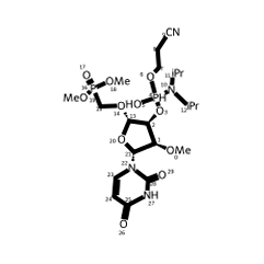 CO[C@@H]1[C@H](O[PH](O)(OCCC#N)N(C(C)C)C(C)C)[C@@H](OCP(=O)(OC)OC)O[C@H]1n1ccc(=O)[nH]c1=O